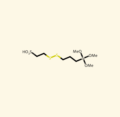 CO[Si](CCCSSCCS(=O)(=O)O)(OC)OC